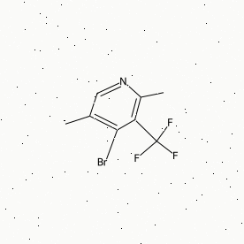 Cc1cnc(C)c(C(F)(F)F)c1Br